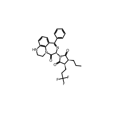 CCC[C@@H]1C(=O)N([C@@H]2N=C(c3ccccc3)c3cccc4c3N(CCN4)C2=O)C(=O)[C@@H]1CCC(F)(F)F